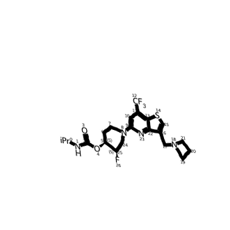 CC(C)NC(=O)O[C@H]1CCN(c2cc(C(F)(F)F)c3scc(CN4CCC4)c3n2)C[C@@H]1F